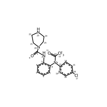 O=C(Nc1ccccc1N(C(=O)C(F)(F)F)c1ccc(Cl)cn1)N1CCNCC1